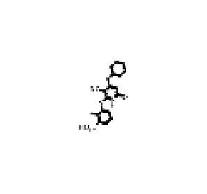 Cc1c(Sc2[nH]c(=O)cc(CC3CCCCC3)c2C#N)cccc1C(=O)O